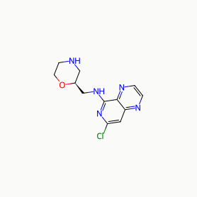 Clc1cc2nccnc2c(NC[C@@H]2CNCCO2)n1